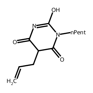 C=CCC1C(=O)N=C(O)N(CCCCC)C1=O